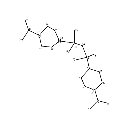 CC(C)N1CCC(C(C)(C)CC(C)(C)N2CCN(C(C)C)CC2)CC1